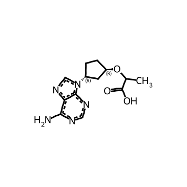 CC(O[C@@H]1CC[C@@H](n2cnc3c(N)ncnc32)C1)C(=O)O